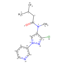 CC(CC(=O)N(C)c1cn(-c2cccnc2)nc1Cl)C(F)(F)F